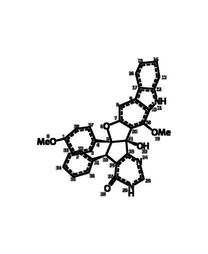 COc1ccc([C@@]23Oc4cc5c([nH]c6ccccc65)c(OC)c4[C@]2(O)c2nc[nH]c(=O)c2[C@H]3c2ccccc2)cc1